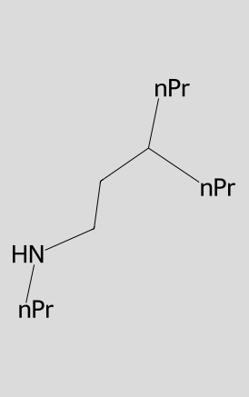 CCCNCCC(CCC)CCC